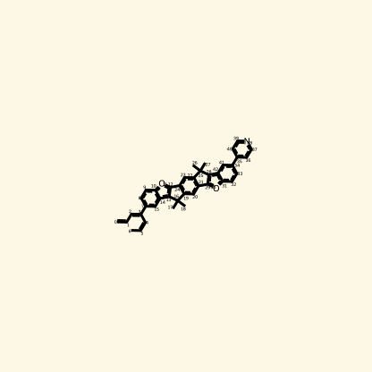 C=C/C=C(\C=C/C)c1ccc2oc3c(c2c1)C(C)(C)c1cc2c(cc1-3)C(C)(C)c1c-2oc2ccc(-c3ccncc3)cc12